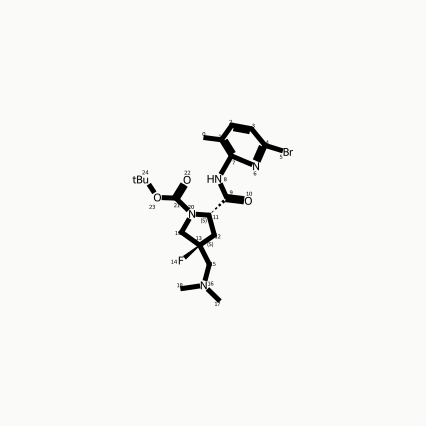 Cc1ccc(Br)nc1NC(=O)[C@@H]1C[C@](F)(CN(C)C)CN1C(=O)OC(C)(C)C